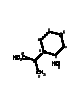 C[C@@H](C(=O)O)N1CCOCC1.Cl